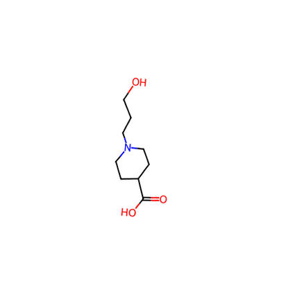 O=C(O)C1CCN(CCCO)CC1